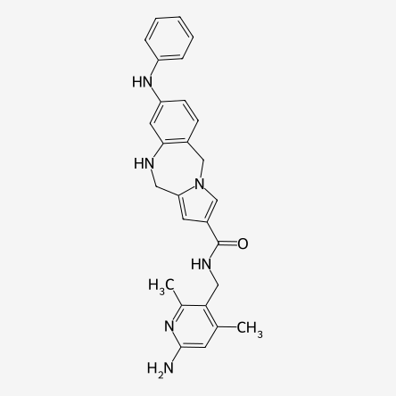 Cc1cc(N)nc(C)c1CNC(=O)c1cc2n(c1)Cc1ccc(Nc3ccccc3)cc1NC2